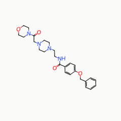 O=C(NCCN1CCN(CC(=O)N2CCOCC2)CC1)c1ccc(OCc2ccccc2)cc1